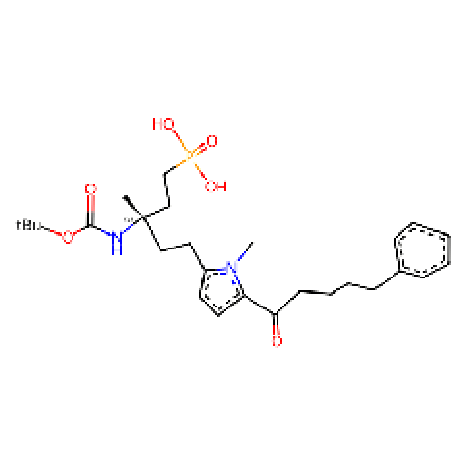 Cn1c(CC[C@@](C)(CCP(=O)(O)O)NC(=O)OC(C)(C)C)ccc1C(=O)CCCCc1ccccc1